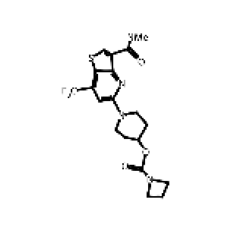 CNC(=O)c1csc2c(C(F)(F)F)cc(N3CCC(OC(=O)N4CCC4)CC3)nc12